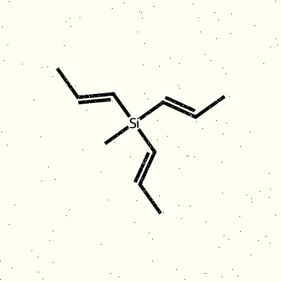 CC=C[Si](C)(C=CC)C=CC